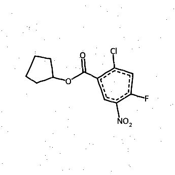 O=C(OC1CCCC1)c1cc([N+](=O)[O-])c(F)cc1Cl